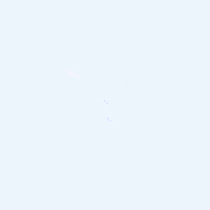 C/C([O-])=C(C)\N=N\C(C)(C)C.[K+]